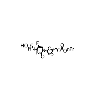 CCCOC(=O)OC[C@@H]1O[C@H](n2cc(F)c(NC(=O)O)nc2=O)CS1